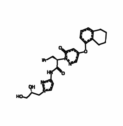 CC(C)C[C@H](C(=O)Nc1ccn(C[C@@H](O)CO)n1)n1ncc(Oc2cccc3c2CCCC3)cc1=O